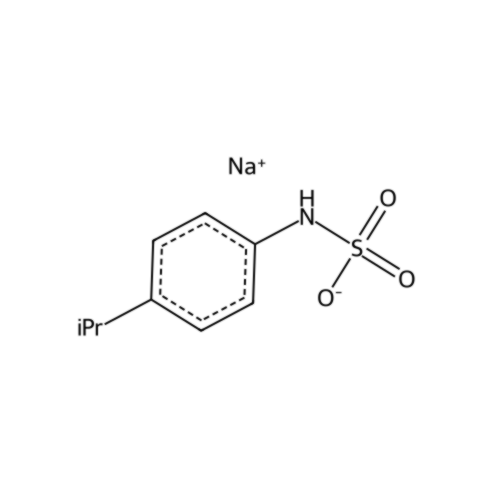 CC(C)c1ccc(NS(=O)(=O)[O-])cc1.[Na+]